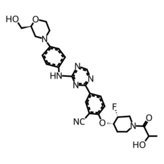 CC(O)C(=O)N1CC[C@H](Oc2ccc(-c3ncnc(Nc4ccc(N5CCO[C@H](CO)C5)cc4)n3)cc2C#N)[C@H](F)C1